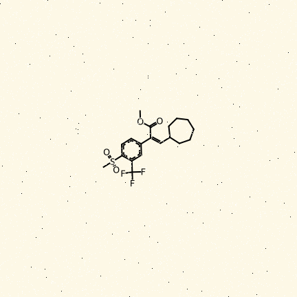 COC(=O)C(=CC1CCCCCC1)c1ccc(S(C)(=O)=O)c(C(F)(F)F)c1